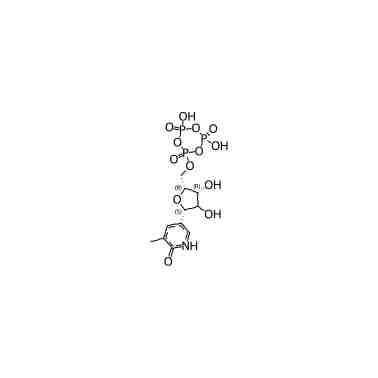 Cc1cc([C@@H]2O[C@H](COP3(=O)OP(=O)(O)OP(=O)(O)O3)[C@H](O)C2O)c[nH]c1=O